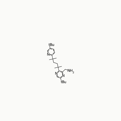 CC(C)(C)c1ccc(C(C)(C)CCC(C)(C)c2ncc(C(C)(C)C)nc2CN)nc1